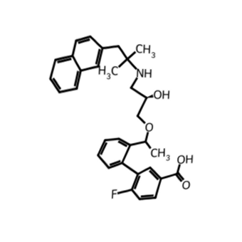 CC(OC[C@H](O)CNC(C)(C)Cc1ccc2ccccc2c1)c1ccccc1-c1cc(C(=O)O)ccc1F